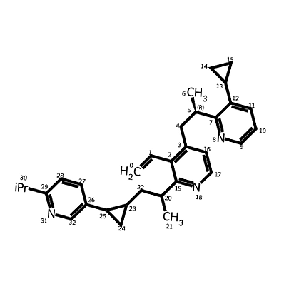 C=Cc1c(C[C@@H](C)c2ncccc2C2CC2)ccnc1C(C)CC1CC1c1ccc(C(C)C)nc1